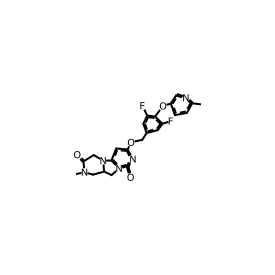 Cc1ccc(Oc2c(F)cc(COc3cc4n(c(=O)n3)CC3CN(C)C(=O)CN43)cc2F)cn1